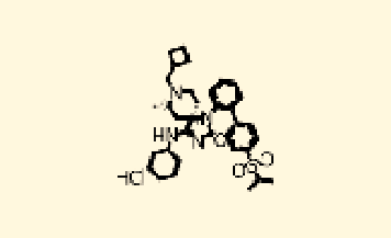 CC(C)S(=O)(=O)c1ccc(-c2ccccc2N2C(=O)N=C(NC3CCCCC3)[C@]23CCN(CC2CCC2)[C@@H](C)C3)cc1.Cl